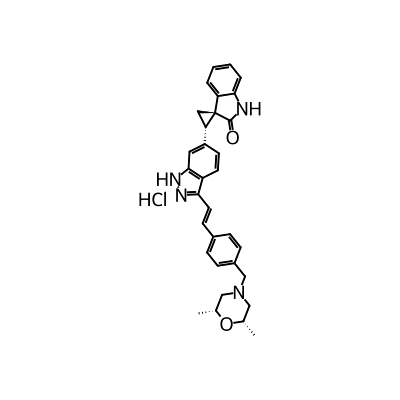 C[C@@H]1CN(Cc2ccc(C=Cc3n[nH]c4cc([C@@H]5C[C@@]56C(=O)Nc5ccccc56)ccc34)cc2)C[C@H](C)O1.Cl